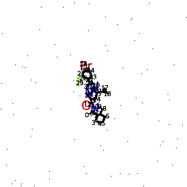 C[C@@H]1c2ccccc2CCN1C(=O)c1cc(C2CC2)c2nc(-c3ccc(Br)cc3F)cn2c1